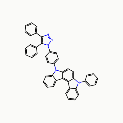 c1ccc(-c2nnn(-c3ccc(-n4c5ccccc5c5c6c7ccccc7n(-c7ccccc7)c6ccc54)cc3)c2-c2ccccc2)cc1